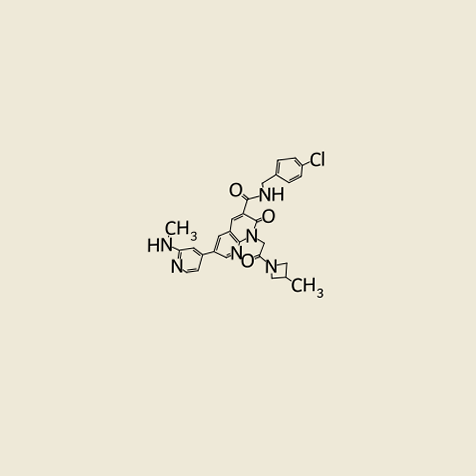 CNc1cc(-c2cnc3c(c2)cc(C(=O)NCc2ccc(Cl)cc2)c(=O)n3CC(=O)N2CC(C)C2)ccn1